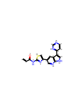 C=CC(=O)Nc1nc(-c2cnc3[nH]cc(-c4ccncn4)c3c2)cs1